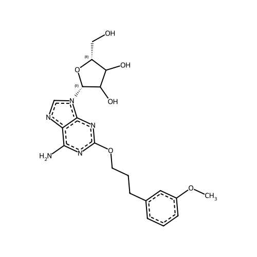 COc1cccc(CCCOc2nc(N)c3ncn([C@@H]4O[C@H](CO)C(O)C4O)c3n2)c1